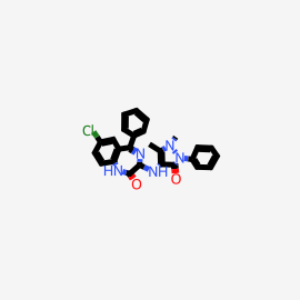 Cc1c(NC2N=C(c3ccccc3)c3cc(Cl)ccc3NC2=O)c(=O)n(-c2ccccc2)n1C